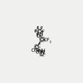 O=C(Oc1c(F)c(F)c(F)c(F)c1F)c1cc(C#Cc2ccc(Cl)c(C(=O)Nc3ccccn3)c2)cc(C(F)(F)F)c1